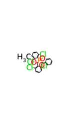 Cc1ccc(Cl)c(P(=O)(C(=O)c2ccccc2)C(=O)c2c(Cl)cccc2Cl)c1Cl